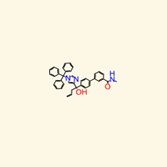 C=CCC(O)(c1ccc(-c2cccc(C(=O)NC)c2)cc1)c1cn(C(c2ccccc2)(c2ccccc2)c2ccccc2)cn1